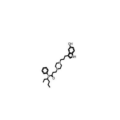 CCCC(CC)N(C(=O)CCN1CCN(CCCc2c[nH]c3ccc(O)cc23)CC1)c1ccccc1